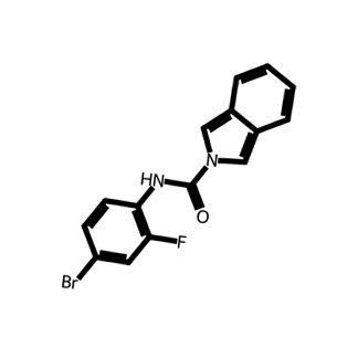 O=C(Nc1ccc(Br)cc1F)n1cc2ccccc2c1